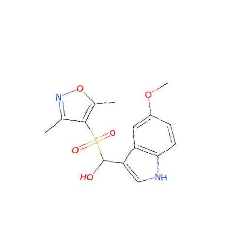 COc1ccc2[nH]cc(C(O)S(=O)(=O)c3c(C)noc3C)c2c1